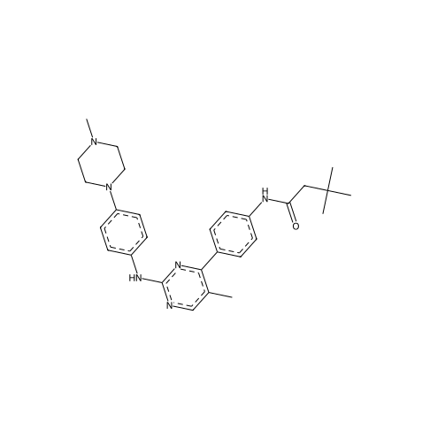 Cc1cnc(Nc2ccc(N3CCN(C)CC3)cc2)nc1-c1ccc(NC(=O)CC(C)(C)C)cc1